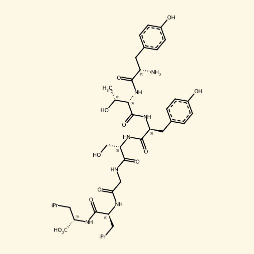 CC(C)C[C@H](NC(=O)[C@H](CC(C)C)NC(=O)CNC(=O)[C@H](CO)NC(=O)[C@H](Cc1ccc(O)cc1)NC(=O)[C@@H](NC(=O)[C@@H](N)Cc1ccc(O)cc1)[C@@H](C)O)C(=O)O